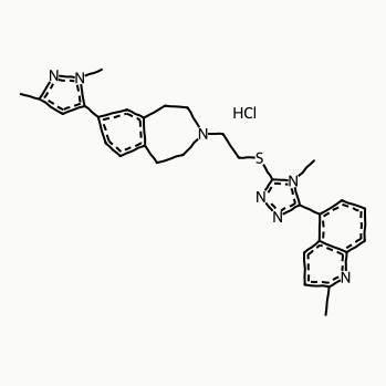 Cc1ccc2c(-c3nnc(SCCN4CCc5ccc(-c6cc(C)nn6C)cc5CC4)n3C)cccc2n1.Cl